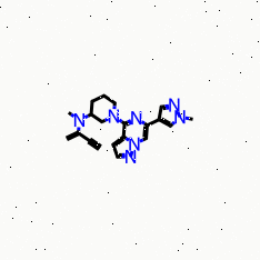 C#CC(=C)N(C)C1CCCN(c2nc(-c3cnn(C)c3)cn3nccc23)C1